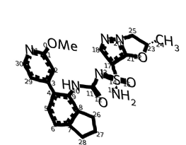 COc1cc(-c2ccc3c(c2NC(=O)N=[S@](N)(=O)c2cnn4c2O[C@@H](C)C4)CCC3)ccn1